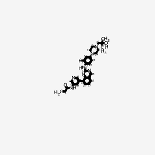 C=CC(=O)Nc1cncc(-c2cccc3cnc(Nc4ccc(N5CCN(CC(C)(C)O)CC5)cc4F)nc23)c1